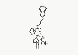 O=C(C1CCN[C@@H]1C(O)=S)[C@@H]1CCCN1C(=O)CCCCC1=Cc2ccccc2C1